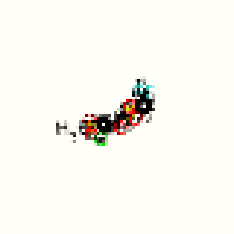 CC1(S(=O)(=O)c2cccc(C(F)(F)F)c2)CCOC(c2ccc(S(C)(=O)=O)c(Cl)c2)C1